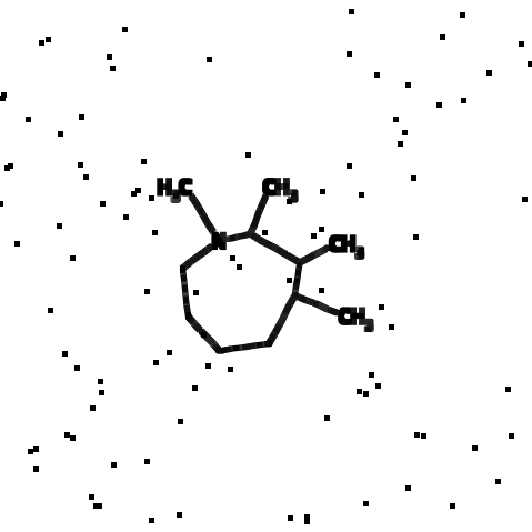 CC1CCCCN(C)C(C)C1C